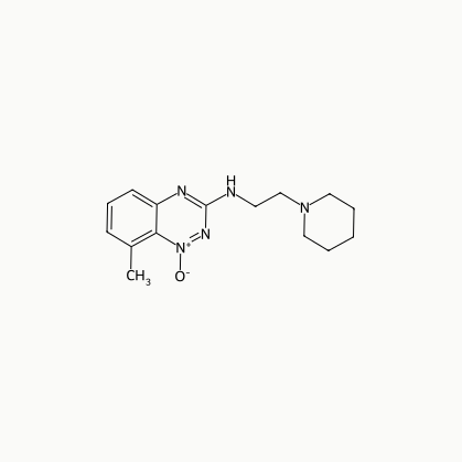 Cc1cccc2nc(NCCN3CCCCC3)n[n+]([O-])c12